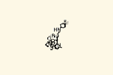 Cc1ccc(S(=O)(=O)N2CCC[C@H]2C(=O)OC(C)(C)C)c(OCCCCCNC2CCC(F)(F)CC2)n1